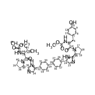 COC(=O)N[C@@H](Cc1ccc(O)cc1)C(=O)N1CCC[C@H]1c1ncc(-c2ccc(-c3ccc(-c4cnc([C@@H]5CCCN5C(=O)[C@@H](NC(=O)OC)C(C)C)[nH]4)cc3)cc2)[nH]1